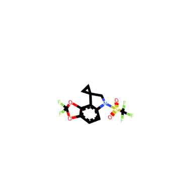 O=S(=O)(N1CC2(CC2)c2c1ccc1c2OC(F)(F)O1)C(F)(F)F